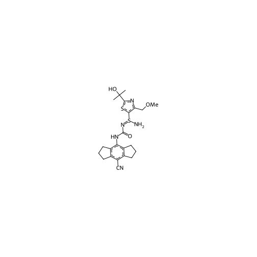 COCc1nc(C(C)(C)O)sc1/S(N)=N/C(=O)Nc1c2c(c(C#N)c3c1CCC3)CCC2